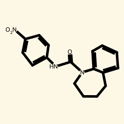 O=C(Nc1ccc([N+](=O)[O-])cc1)N1CCCCc2ccccc21